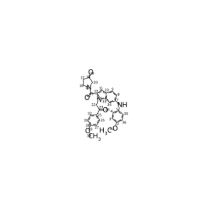 COc1ccc(Nc2ccc3cc(C(=O)N4CCC(=O)C4)n(CC(=O)c4ccc(OC)cc4)c3c2)cc1